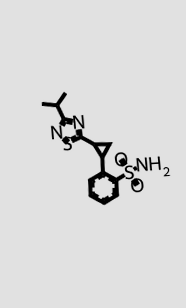 CC(C)c1nsc(C2CC2c2ccccc2S(N)(=O)=O)n1